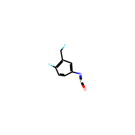 O=C=Nc1ccc(F)c(CF)c1